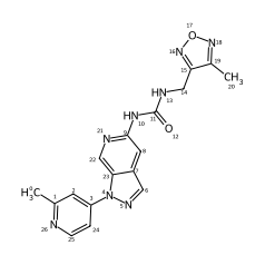 Cc1cc(-n2ncc3cc(NC(=O)NCc4nonc4C)ncc32)ccn1